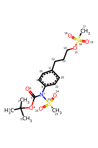 CC(C)(C)OC(=O)N(c1ccc(CCCOS(C)(=O)=O)cc1)S(C)(=O)=O